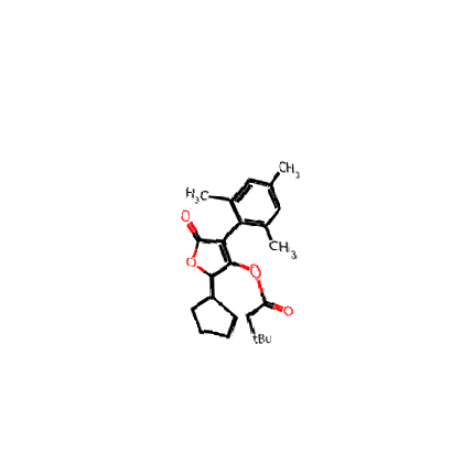 Cc1cc(C)c(C2=C(OC(=O)CC(C)(C)C)C(C3CCCC3)OC2=O)c(C)c1